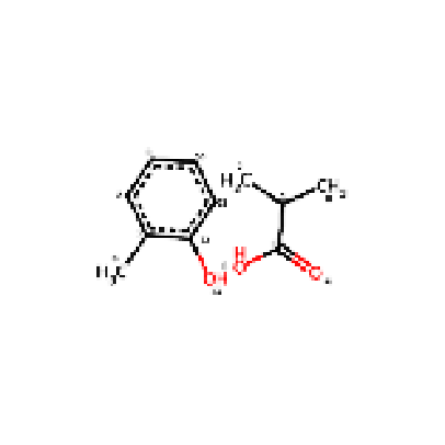 CC(C)C(=O)O.Cc1ccccc1O